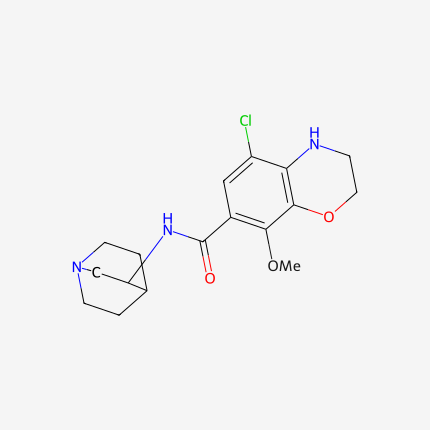 COc1c(C(=O)NC2CN3CCC2CC3)cc(Cl)c2c1OCCN2